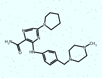 CN1CCN(Cc2ccc(Nc3nc(N4CCCCC4)cnc3C(N)=O)cc2)CC1